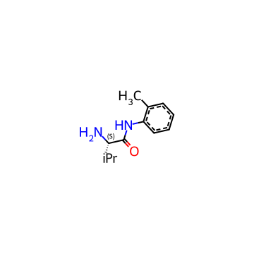 Cc1ccccc1NC(=O)[C@@H](N)C(C)C